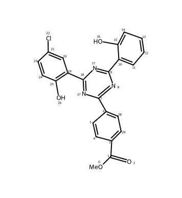 COC(=O)c1ccc(-c2nc(-c3ccccc3O)nc(-c3cc(Cl)ccc3O)n2)cc1